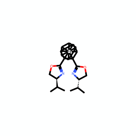 CC(C)[C@H]1COC([C]23[CH]4[CH]5[CH]6[C]2(C2=N[C@@H](C(C)C)CO2)[Fe]54632789[CH]3[CH]2[CH]7[CH]8[CH]39)=N1